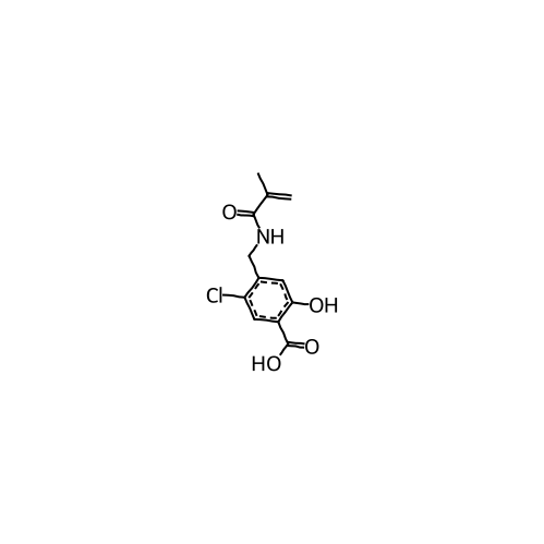 C=C(C)C(=O)NCc1cc(O)c(C(=O)O)cc1Cl